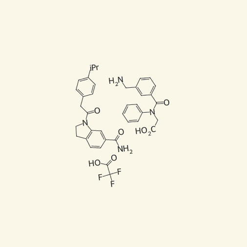 CC(C)c1ccc(CC(=O)N2CCc3ccc(C(N)=O)cc32)cc1.NCc1cccc(C(=O)N(CC(=O)O)c2ccccc2)c1.O=C(O)C(F)(F)F